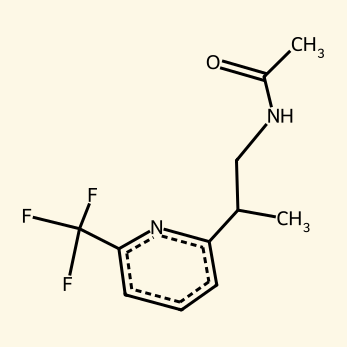 CC(=O)NCC(C)c1cccc(C(F)(F)F)n1